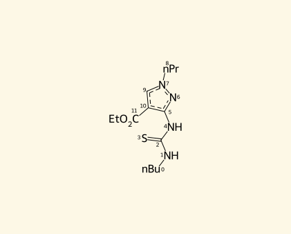 CCCCNC(=S)Nc1nn(CCC)cc1C(=O)OCC